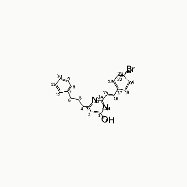 Oc1cc(CCCc2ccccc2)nc(C=Cc2ccc(Br)cc2)n1